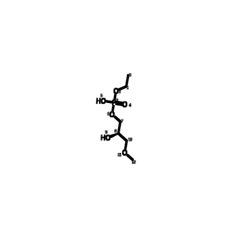 CCOP(=O)(O)OC[C@H](O)COC